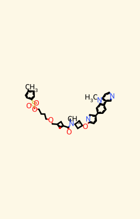 Cc1ccc(S(=O)(=O)OCCCCOCC23CC(C(=O)N(C)[C@H]4C[C@H](Oc5ccc(-c6ccc7c8cnccc8n(C)c7c6)cn5)C4)(C2)C3)cc1